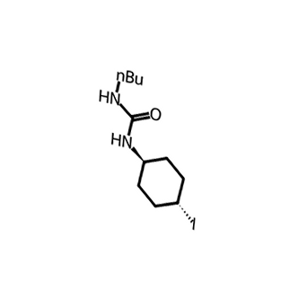 CCCCNC(=O)N[C@H]1CC[C@H](I)CC1